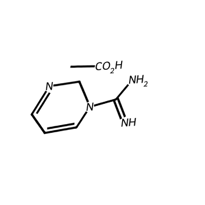 CC(=O)O.N=C(N)N1C=CC=NC1